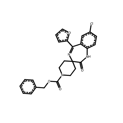 O=C(OCc1ccccc1)N1CCC2(CC1)N=C(c1ccco1)c1cc(Cl)ccc1NC2=O